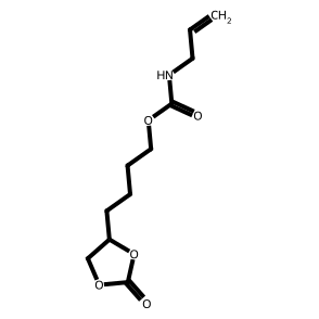 C=CCNC(=O)OCCCCC1COC(=O)O1